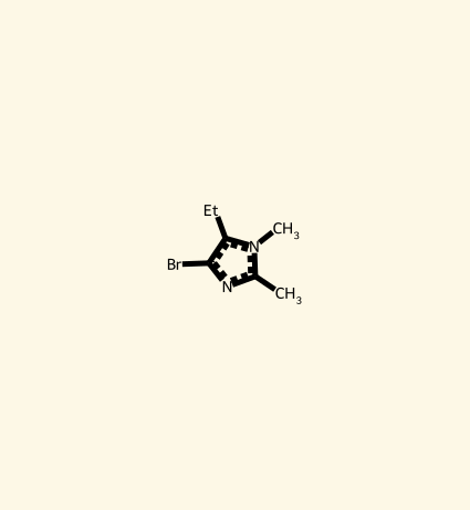 CCc1c(Br)nc(C)n1C